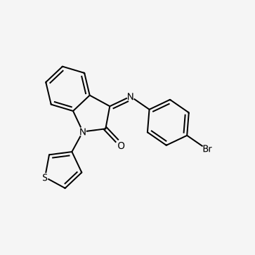 O=C1/C(=N\c2ccc(Br)cc2)c2ccccc2N1c1ccsc1